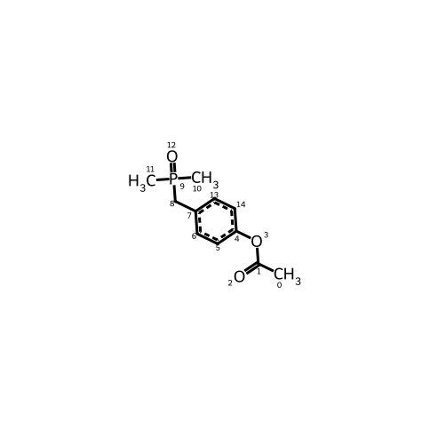 CC(=O)Oc1ccc(CP(C)(C)=O)cc1